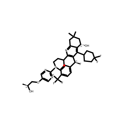 C[C@H](O)COc1cnc(N2CCC(c3nc4c(c(C5CCC(F)(F)CC5)c3[C@@H](F)c3ccc(C(F)(F)F)cc3)[C@@H](O)CC(C)(C)C4)CC2)nc1